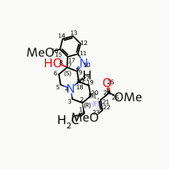 C=C[C@H]1CN2CC[C@@]3(O)C(=Nc4cccc(OC)c43)[C@@H]2C[C@@H]1/C(=C\OC)C(=O)OC